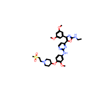 CCNc1nc(-c2cc(OC)cc(OC)c2)c(-c2ccnc(Nc3ccc(OC4CCN(CCS(C)(=O)=O)CC4)c(OC)c3)n2)o1